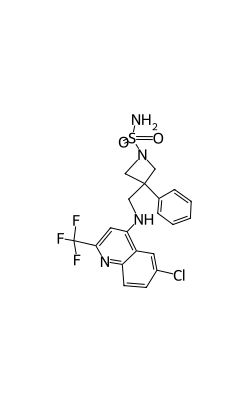 NS(=O)(=O)N1CC(CNc2cc(C(F)(F)F)nc3ccc(Cl)cc23)(c2ccccc2)C1